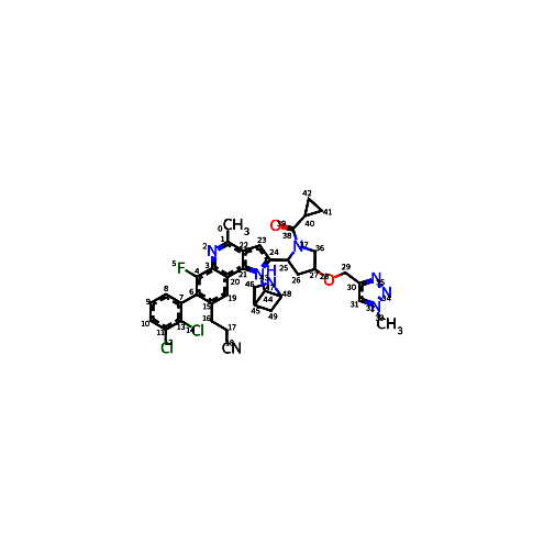 Cc1nc2c(F)c(-c3cccc(Cl)c3Cl)c(CCC#N)cc2c2c1cc(C1CC(OCc3cn(C)nn3)CN1C(=O)C1CC1)n2C1C2CNC1C2